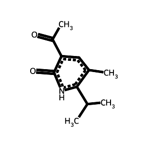 CC(=O)c1cc(C)c(C(C)C)[nH]c1=O